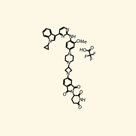 COc1cc(N2CCN(C3CN(c4ccc5c(c4)C(=O)N(C4CCC(=O)NC4=O)C5=O)C3)CC2)ccc1Nc1nccc(-c2cn(C3CC3)c3ccccc23)n1.O=C(O)C(F)(F)F